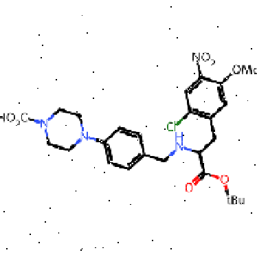 COc1cc(CC(NCc2ccc(N3CCN(C(=O)O)CC3)cc2)C(=O)OC(C)(C)C)c(Cl)cc1[N+](=O)[O-]